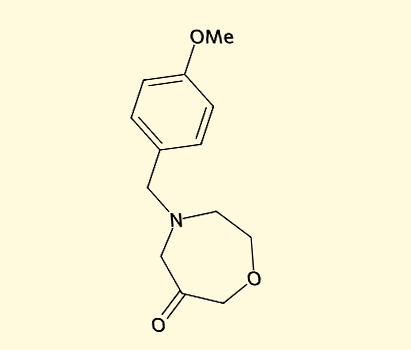 COc1ccc(CN2CCOCC(=O)C2)cc1